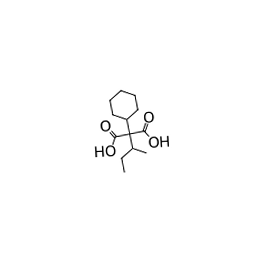 CCC(C)C(C(=O)O)(C(=O)O)C1CCCCC1